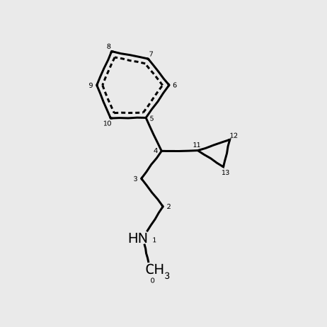 CNCCC(c1ccccc1)C1CC1